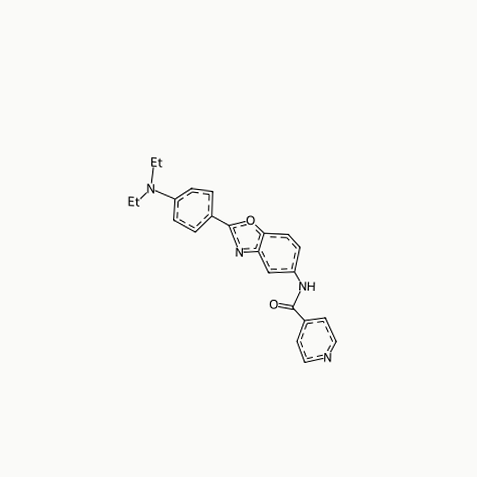 CCN(CC)c1ccc(-c2nc3cc(NC(=O)c4ccncc4)ccc3o2)cc1